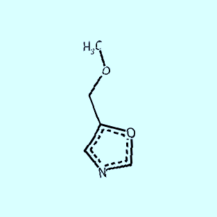 COCc1cnco1